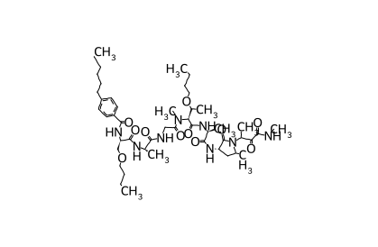 CCCCCCc1ccc(C(=O)N[C@H](COCCCC)C(=O)N[C@H](C)C(=O)NCC(=O)N(C)[C@H](C(=O)N[C@@H](C)C(=O)N[C@H]2CC(C)N(C(C)C(=O)C(=O)NC)C2=O)C(C)OCCCC)cc1